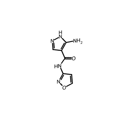 Nc1[nH]ncc1C(=O)Nc1ccon1